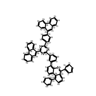 c1ccc(-c2nc3c(-c4cccc(-c5nc(-c6ccc(-c7cc8ccccc8c8ccccc78)cc6)nc(-c6cc7ccccc7c7ccccc67)n5)c4)cccc3c3c(-c4ccccc4)cccc23)cc1